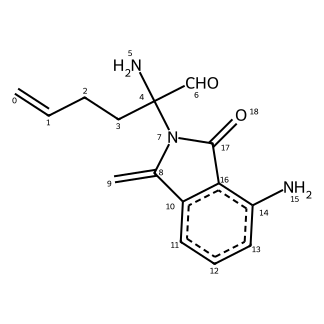 C=CCCC(N)(C=O)N1C(=C)c2cccc(N)c2C1=O